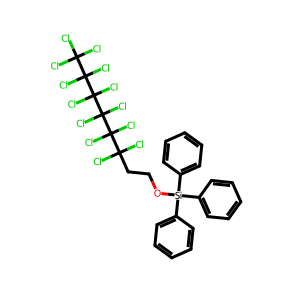 ClC(Cl)(Cl)C(Cl)(Cl)C(Cl)(Cl)C(Cl)(Cl)C(Cl)(Cl)C(Cl)(Cl)CCO[Si](c1ccccc1)(c1ccccc1)c1ccccc1